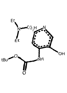 CC(C)(C)OC(=O)Nc1ccncc1O.CCN(CC)C(=O)O